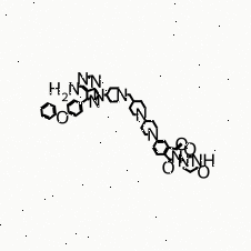 Nc1ncnc2c1c(-c1ccc(Oc3ccccc3)cc1)nn2C1CCN(CC2CCN(C3CCN(c4ccc5c(c4)C(=O)N(N4CCC(=O)NC4=O)C5=O)CC3)CC2)CC1